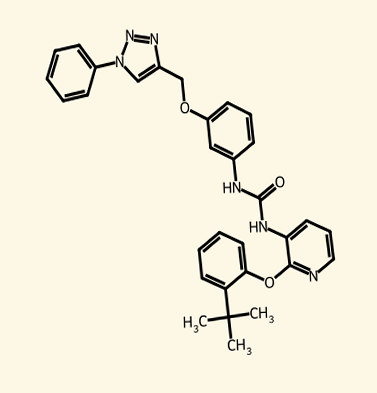 CC(C)(C)c1ccccc1Oc1ncccc1NC(=O)Nc1cccc(OCc2cn(-c3ccccc3)nn2)c1